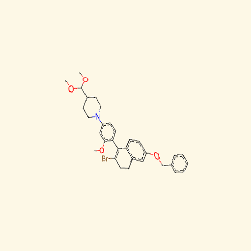 COc1cc(N2CCC(C(OC)OC)CC2)ccc1C1=C(Br)CCc2cc(OCc3ccccc3)ccc21